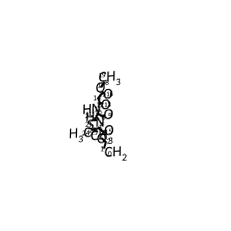 C=CCOC(=O)C1N2C(=O)[C@@H](NC(=O)CC(=O)OCC)[C@@H]2SC1(C)C